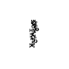 CC(C)(C)OCC(=O)N1CCC2(CC1)CC2CNC(=O)c1cc2ccncc2o1